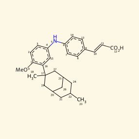 COc1ccc(Nc2ccc(/C=C/C(=O)O)cc2)cc1C1(C)CC2CC(C)CC(C2)C1